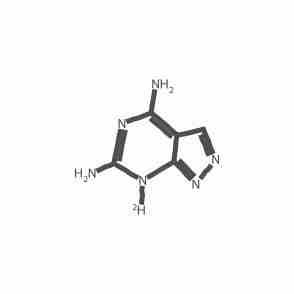 [2H]n1c(N)nc(N)c2cnnc1-2